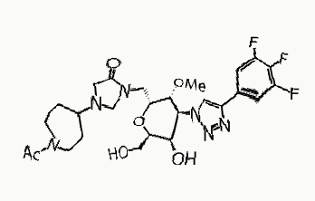 CO[C@@H]1[C@@H](n2cc(-c3cc(F)c(F)c(F)c3)nn2)[C@@H](O)[C@@H](CO)O[C@@H]1CN1CN(C2CCN(C(C)=O)CC2)CC1=O